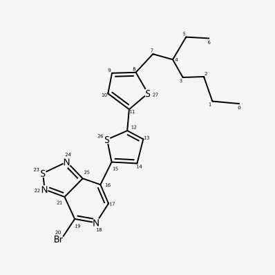 CCCCC(CC)Cc1ccc(-c2ccc(-c3cnc(Br)c4nsnc34)s2)s1